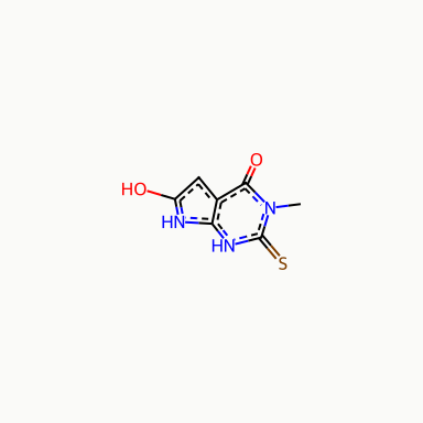 Cn1c(=S)[nH]c2[nH]c(O)cc2c1=O